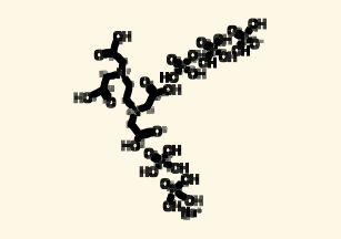 O=C(O)CN(CCN(CC(=O)O)CC(=O)O)CC(=O)O.O=P(O)(O)O.O=P(O)(O)O.O=P(O)(O)O.O=P(O)(O)O.O=P([O-])(O)O.[Na+]